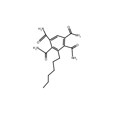 CCCCCCc1c(C(N)=O)c(C(N)=O)cc(C(N)=O)c1C(N)=O